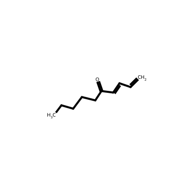 C=CC=CC(=O)CCCCC